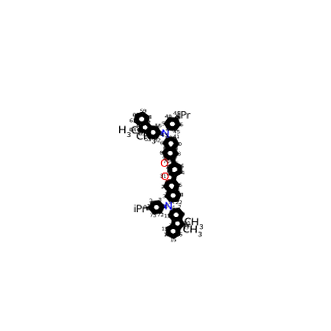 CC(C)c1ccc(N(c2ccc3c(c2)-c2ccccc2C3(C)C)c2ccc3cc4c(cc3c2)oc2c4ccc3c4cc5ccc(N(c6ccc(C(C)C)cc6)c6ccc7c(c6)-c6ccccc6C7(C)C)cc5cc4oc32)cc1